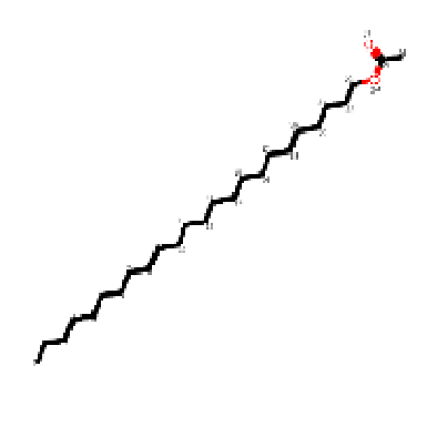 CCCCCCCCCCCCCCCCCCCCCCCCOC(C)=O